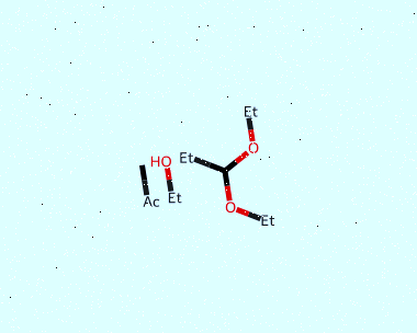 CC(C)=O.CCO.CCOC(CC)OCC